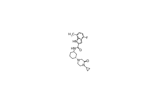 Cc1ccc(F)c2cc(C(=O)N[C@@H]3CCC[C@@H](N4CCN(C5CC5)C(=O)C4)C3)[nH]c12